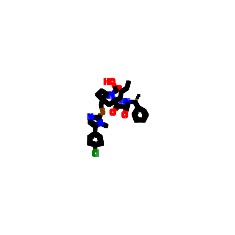 CCCCC(CC1(CSc2ncc(-c3ccc(Cl)cc3)n2C)CCC1)(NC(=O)O)C(=O)C(=O)N[C@H](C)c1ccccc1